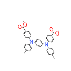 COC(=O)c1ccc(N(c2ccc(C)cc2)c2ccc(N(c3ccc(C)cc3)c3ccc(C(=O)OC)cc3)cc2)cc1